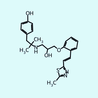 Cc1nnc(C=Cc2ccccc2OCC(O)CNC(C)(C)Cc2ccc(O)cc2)s1